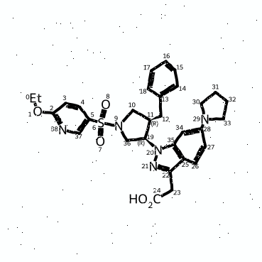 CCOc1ccc(S(=O)(=O)N2C[C@@H](Cc3ccccc3)[C@@H](n3nc(CC(=O)O)c4ccc(N5CCCC5)cc43)C2)cn1